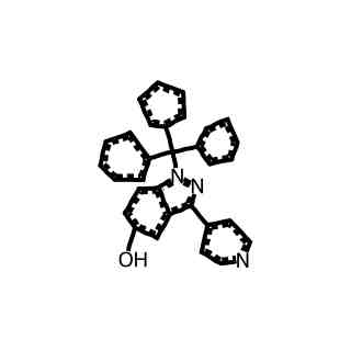 Oc1ccc2c(c1)c(-c1ccncc1)nn2C(c1ccccc1)(c1ccccc1)c1ccccc1